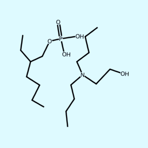 CCCCC(CC)COP(=O)(O)O.CCCCN(CCO)CCCC